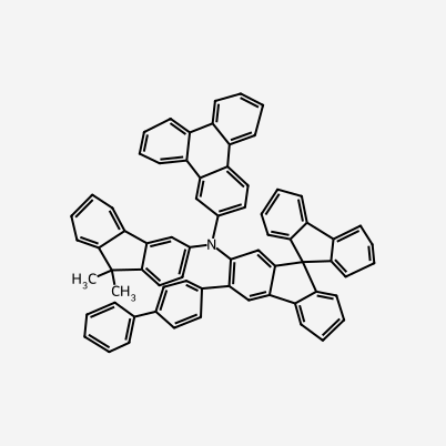 CC1(C)c2ccccc2-c2cc(N(c3ccc4c5ccccc5c5ccccc5c4c3)c3cc4c(cc3-c3ccc(-c5ccccc5)cc3)-c3ccccc3C43c4ccccc4-c4ccccc43)ccc21